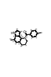 Cc1ccc(C(=O)N2CCCc3cc(C)c4[nH]ccc4c32)cc1